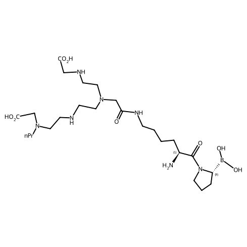 CCCN(CCNCCN(CCNCC(=O)O)CC(=O)NCCCC[C@H](N)C(=O)N1CCC[C@H]1B(O)O)CC(=O)O